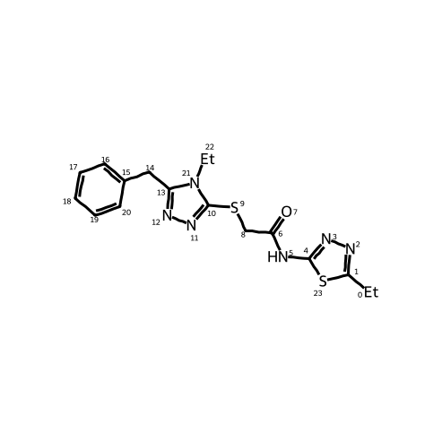 CCc1nnc(NC(=O)CSc2nnc(Cc3ccccc3)n2CC)s1